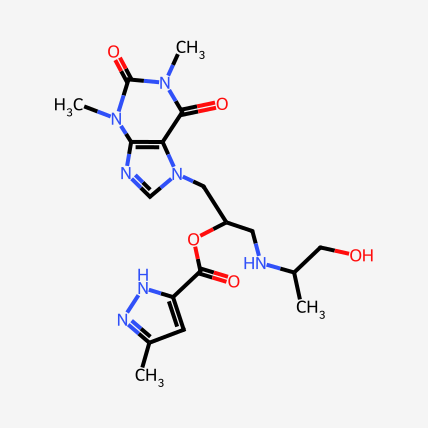 Cc1cc(C(=O)OC(CNC(C)CO)Cn2cnc3c2c(=O)n(C)c(=O)n3C)[nH]n1